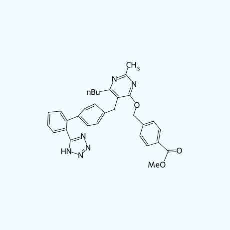 CCCCc1nc(C)nc(OCc2ccc(C(=O)OC)cc2)c1Cc1ccc(-c2ccccc2-c2nnn[nH]2)cc1